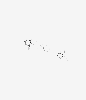 CCOc1ccc(OC(=O)C2CCC(C3CCC(c4ccc(C)c(F)c4F)CC3)CC2)c(F)c1F